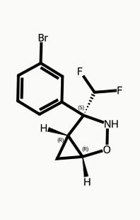 FC(F)[C@]1(c2cccc(Br)c2)NO[C@@H]2C[C@@H]21